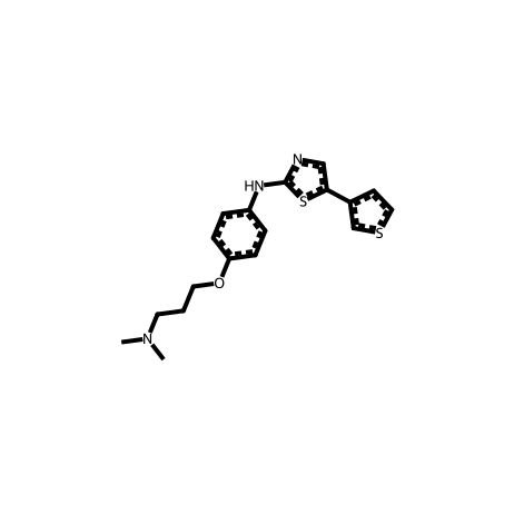 CN(C)CCCOc1ccc(Nc2ncc(-c3ccsc3)s2)cc1